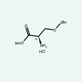 COC(=O)[C@H](N)COC(C)(C)C.Cl